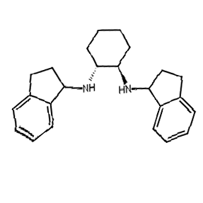 c1ccc2c(c1)CCC2N[C@@H]1CCCC[C@H]1NC1CCc2ccccc21